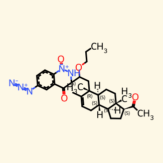 CCCOC1C[C@@]2(C)C(=CC[C@H]3[C@@H]4CC[C@H](C(C)=O)[C@@]4(C)CC[C@@H]32)C[C@]12N[N+](=O)c1ccc(N=[N+]=[N-])cc1C2=O